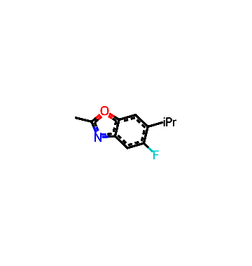 Cc1nc2cc(F)c(C(C)C)cc2o1